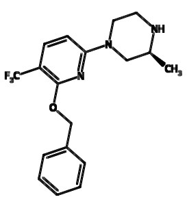 C[C@H]1CN(c2ccc(C(F)(F)F)c(OCc3ccccc3)n2)CCN1